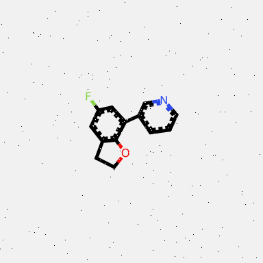 Fc1cc2c(c(-c3cccnc3)c1)O[CH]C2